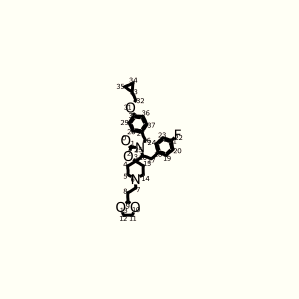 O=C1OC2(CCN(CCC3OCCO3)CC2)C(Cc2ccc(F)cc2)N1Cc1ccc(OCC2CC2)cc1